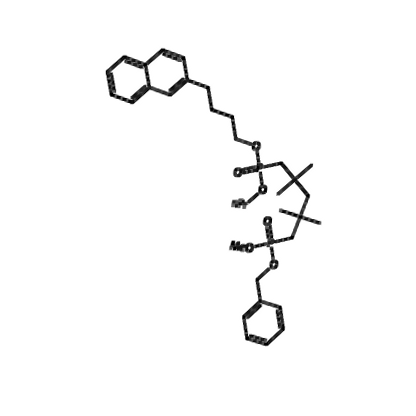 CCCOP(=O)(CC(C)(C)CC(C)(C)CP(=O)(OC)OCc1ccccc1)OCCCCc1ccc2ccccc2c1